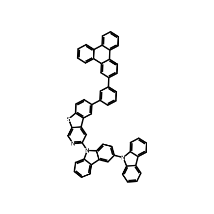 c1cc(-c2ccc3sc4cnc(-n5c6ccccc6c6cc(-n7c8ccccc8c8ccccc87)ccc65)cc4c3c2)cc(-c2ccc3c4ccccc4c4ccccc4c3c2)c1